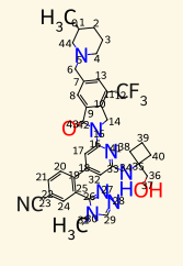 C[C@H]1CCCN(Cc2cc3c(c(C(F)(F)F)c2)CN(c2cc(-c4ccc(C#N)cc4-c4nncn4C)cc(NC4(CO)CCC4)n2)C3=O)C1